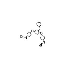 O=C=Nc1ccc(Oc2ccc(Oc3ccc(N=C=O)cc3)c(Cc3ccccc3)c2)cc1